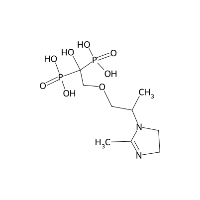 CC1=NCCN1C(C)COCC(O)(P(=O)(O)O)P(=O)(O)O